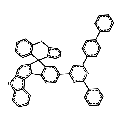 c1ccc(-c2ccc(-c3cc(-c4ccc5c(c4)C4(c6ccccc6Sc6ccccc64)c4ccc6oc7ccccc7c6c4-5)nc(-c4ccccc4)n3)cc2)cc1